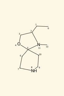 CCC1COC2(CCNCC2)N1C